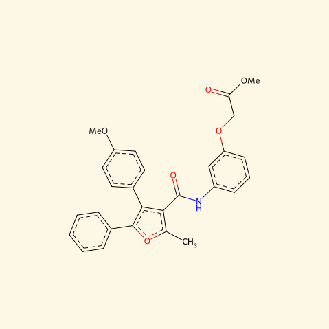 COC(=O)COc1cccc(NC(=O)c2c(C)oc(-c3ccccc3)c2-c2ccc(OC)cc2)c1